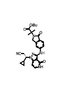 CC(C)COC(=O)C(C)(C)N1Cc2cc(Nc3nn([C@@H](CC#N)C4CC4)c4cc[nH]c(=O)c34)ccc2C1=O